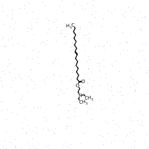 CCCCCCCCC=CCCCCCCCC(=O)OCCN(CC)CC